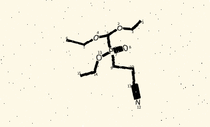 CCOC(OCC)P(=O)(CCC#N)OCC